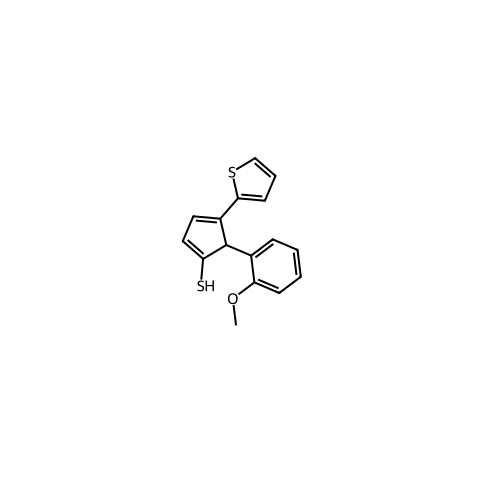 COc1ccccc1C1C(S)=CC=C1c1cccs1